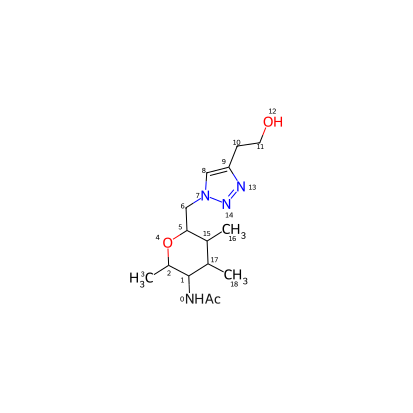 CC(=O)NC1C(C)OC(Cn2cc(CCO)nn2)C(C)C1C